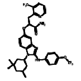 CC1CC(n2c(Nc3ccc(OC(F)(F)F)cc3)nc3cc(OC(Cc4ncccc4C(F)(F)F)C(N)=O)ccc32)CC(C)(C)C1